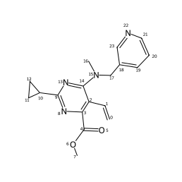 C=Cc1c(C(=O)OC)nc(C2CC2)nc1N(C)Cc1cccnc1